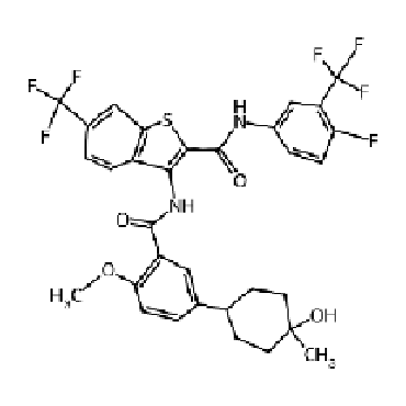 COc1ccc(C2CCC(C)(O)CC2)cc1C(=O)Nc1c(C(=O)Nc2ccc(F)c(C(F)(F)F)c2)sc2cc(C(F)(F)F)ccc12